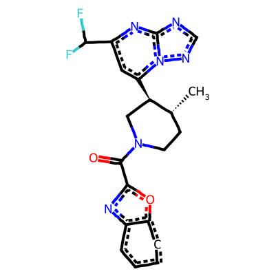 C[C@@H]1CCN(C(=O)c2nc3ccccc3o2)C[C@H]1c1cc(C(F)F)nc2ncnn12